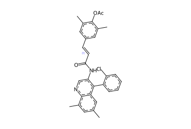 CC(=O)Oc1c(C)cc(/C=C/C(=O)Nc2cnc3c(C)cc(C)cc3c2-c2ccccc2Cl)cc1C